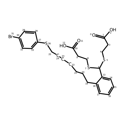 O=C(O)CCSC(SCCC(=O)O)c1ccccc1CCCCCCCSc1ccc(Br)cc1